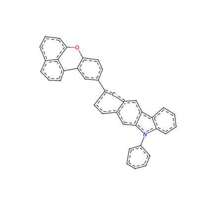 c1ccc(-n2c3ccccc3c3cc4cc(-c5ccc6c(c5)-c5cccc7cccc(c57)O6)ccc4cc32)cc1